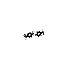 O=C(Cl)c1ccc(OC(=O)c2ccc(C(=O)Cl)cc2)cc1